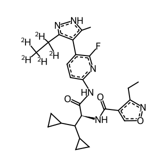 [2H]C([2H])([2H])C([2H])([2H])c1n[nH]c(C)c1-c1ccc(NC(=O)[C@@H](NC(=O)c2conc2CC)C(C2CC2)C2CC2)nc1F